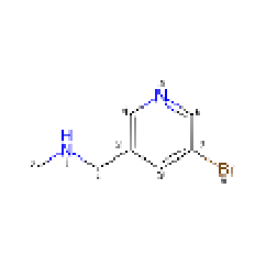 CNCc1cncc(Br)c1